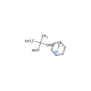 CCOC(=O)C(C)(OC)OC.c1cc2ccc1CN2